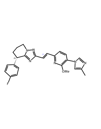 COc1nc(/C=C/c2nc3n(n2)CCC[C@H]3c2ccc(F)cc2)ccc1-n1cnc(C)c1